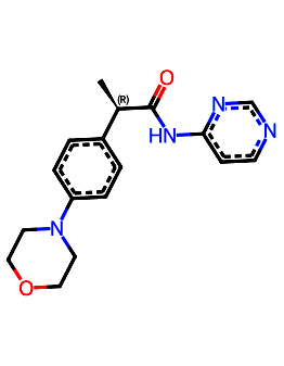 C[C@@H](C(=O)Nc1ccncn1)c1ccc(N2CCOCC2)cc1